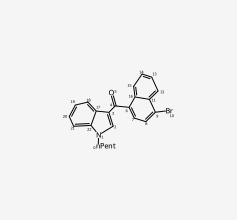 CCCCCn1cc(C(=O)c2ccc(Br)c3ccccc23)c2ccccc21